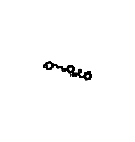 O=C(Cc1cccnc1)Nc1cccc(OCCCN2CCOCC2)c1